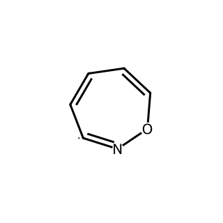 [C]1=NOC=CC=C1